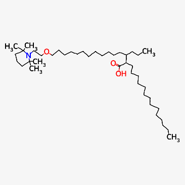 CCCCCCCCCCCCCCC(C(=O)O)C(CCC)CCCCCCCCCCCCOCCN1C(C)(C)CCCC1(C)C